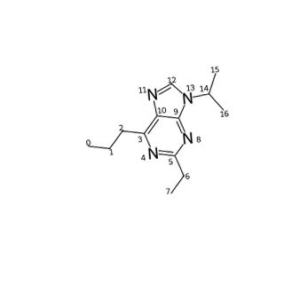 CCCc1nc(CC)nc2c1ncn2C(C)C